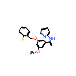 C=C(Nc1ccccn1)c1cc(OCc2ccccc2F)cc(OC(C)C)c1